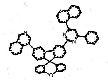 c1ccc(-c2cc(-c3cccc4ccccc34)nc(-c3ccc4c(c3)-c3cc(-c5cncc6ccccc56)ccc3C43c4ccccc4Oc4ccccc43)n2)cc1